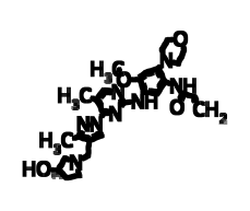 C=CC(=O)Nc1cc(Nc2ncc(C)c(-n3cc(CN4CC[C@@H](O)C4)c(C)n3)n2)c(OC)cc1N1CCOCC1